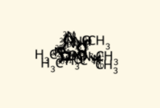 COc1cc(N(C)CCN(C)C)c([N+](=O)[O-])cc1Nc1nccc(-c2cn(C)c3c(C)cccc23)n1